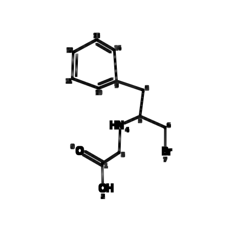 O=C(O)CNC(CBr)Cc1ccccc1